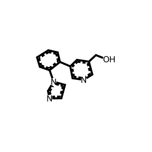 OCc1cncc(-c2ccccc2-n2ccnc2)c1